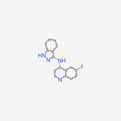 Ic1ccc2nccc(Nc3n[nH]c4ccccc34)c2c1